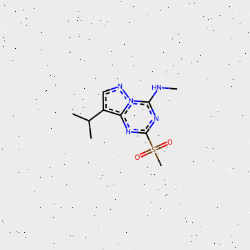 CNc1nc(S(C)(=O)=O)nc2c(C(C)C)cnn12